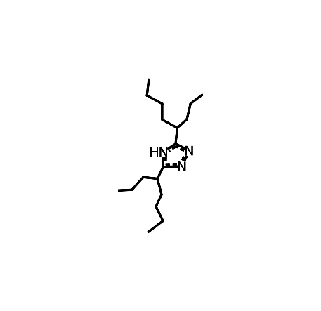 CCCCC(CCC)c1nnc(C(CCC)CCCC)[nH]1